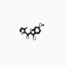 COc1ccc2c(Cl)c(C(=O)c3sccc3C)sc2c1